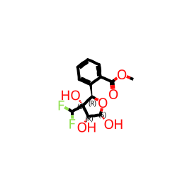 COC(=O)c1ccccc1[C@H]1O[C@H](O)[C@H](O)[C@@]1(O)C(F)F